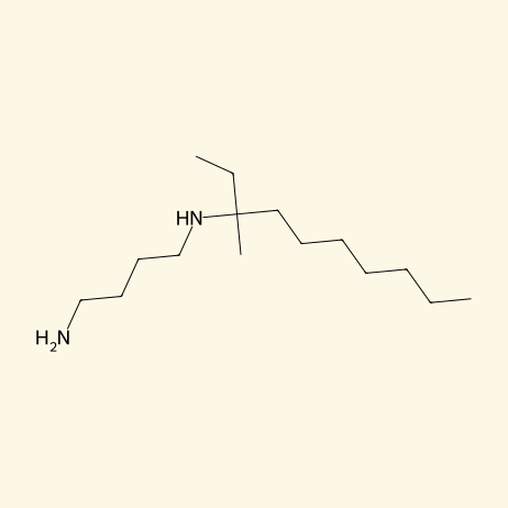 CCCCCCCC(C)(CC)NCCCCN